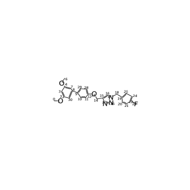 COc1cc(OC)cc(-c2ccc(OCc3cn(Cc4ccc(F)cc4)nn3)cc2)c1